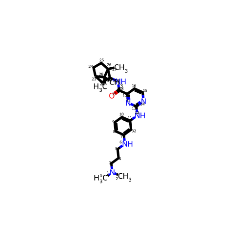 CN(C)CCCNc1cccc(Nc2nccc(C(=O)NC3CC4CCC3(C)C4(C)C)n2)c1